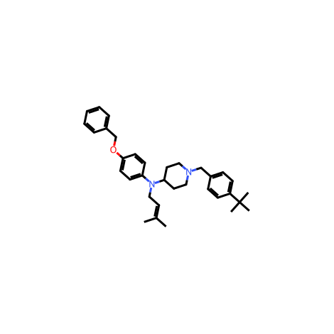 CC(C)=CCN(c1ccc(OCc2ccccc2)cc1)C1CCN(Cc2ccc(C(C)(C)C)cc2)CC1